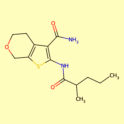 CCCC(C)C(=O)Nc1sc2c(c1C(N)=O)CCOC2